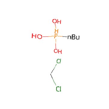 CCCC[PH](O)(O)O.ClCCl